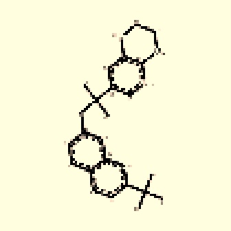 CC(C)(C)c1ccc2ccc(CC(C)(C)c3cnc4c(c3)OCCO4)cc2n1